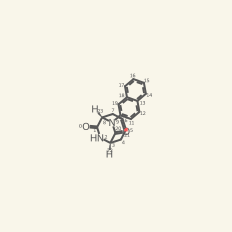 O=C1N[C@H]2C/C=C\C[C@@H]1N(c1ccc3ccccc3c1)C2=O